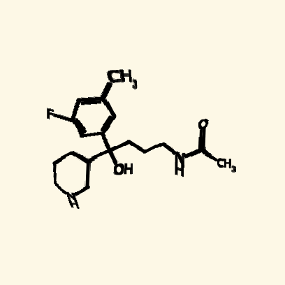 CC(=O)NCCCC(O)(c1cc(C)cc(F)c1)C1CCCNC1